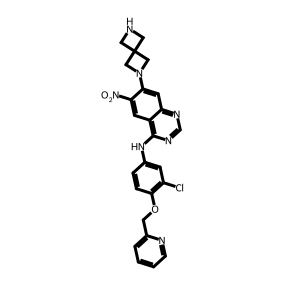 O=[N+]([O-])c1cc2c(Nc3ccc(OCc4ccccn4)c(Cl)c3)ncnc2cc1N1CC2(CNC2)C1